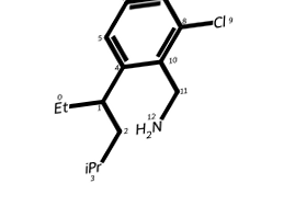 [CH2]CC(CC(C)C)c1cccc(Cl)c1CN